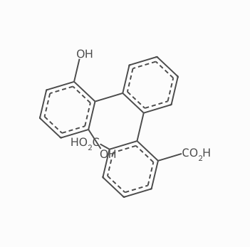 O=C(O)c1cccc(C(=O)O)c1-c1ccccc1-c1c(O)cccc1O